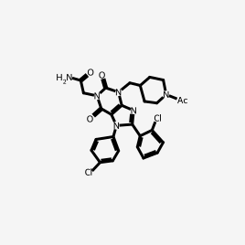 CC(=O)N1CCC(Cn2c(=O)n(CC(N)=O)c(=O)c3c2nc(-c2ccccc2Cl)n3-c2ccc(Cl)cc2)CC1